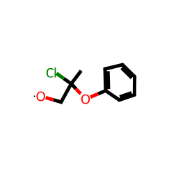 CC(Cl)(C[O])Oc1ccccc1